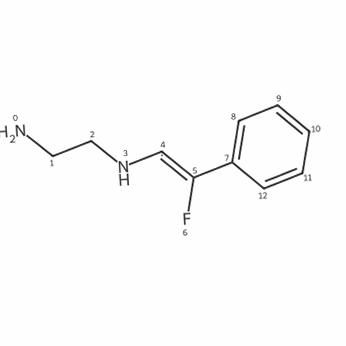 NCCN[C]=C(F)c1ccccc1